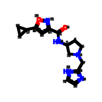 O=C(NC1CCN(Cc2ncc[nH]2)C1)c1cc(C2CC2)on1